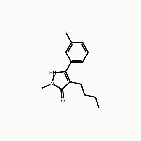 CCCCc1c(-c2cccc(C)c2)[nH]n(C)c1=O